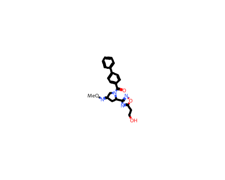 CON=C1CC(c2noc(CCO)n2)N(C(=O)c2ccc(-c3ccccc3)cc2)C1